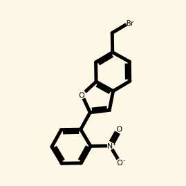 O=[N+]([O-])c1ccccc1-c1cc2ccc(CBr)cc2o1